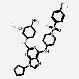 Cc1ccc(S(=O)(=O)N2CCC(Nc3nc(N[C@H]4CC[C@H](N)CC4)nc4c3ncn4C3CCCC3)CC2)cc1.Cl.Cl